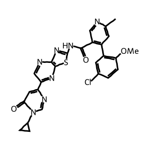 COc1ccc(Cl)cc1-c1cc(C)ncc1C(=O)Nc1nc2ncc(-c3cc(=O)n(C4CC4)cn3)nc2s1